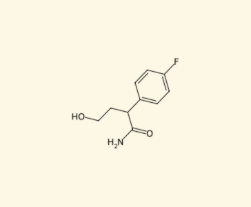 NC(=O)C(CCO)c1ccc(F)cc1